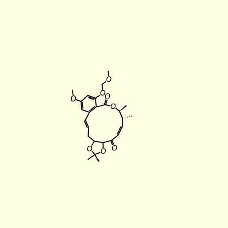 COCOc1cc(OC)cc2c1C(=O)O[C@@H](C)[C@H](C)/C=C\C(=O)C1OC(C)(C)OC1C/C=C/2